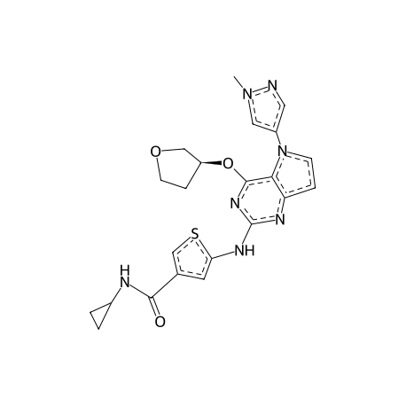 Cn1cc(-n2ccc3nc(Nc4cc(C(=O)NC5CC5)cs4)nc(O[C@H]4CCOC4)c32)cn1